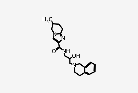 CC1CCc2nc(C(=O)NCC(O)CN3CCc4ccccc4C3)cn2C1